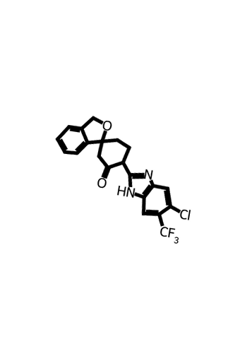 O=C1CC2(CCC1c1nc3cc(Cl)c(C(F)(F)F)cc3[nH]1)OCc1ccccc12